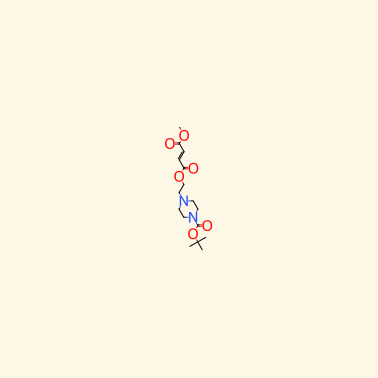 COC(=O)/C=C/C(=O)OCCN1CCN(C(=O)OC(C)(C)C)CC1